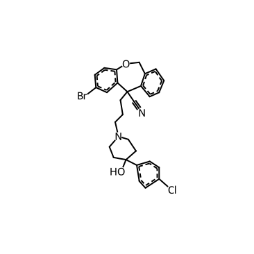 N#CC1(CCCN2CCC(O)(c3ccc(Cl)cc3)CC2)c2ccccc2COc2ccc(Br)cc21